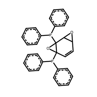 C1=CC2(P(c3ccccc3)c3ccccc3)OC2(P(c2ccccc2)c2ccccc2)C2OC12